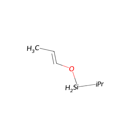 CC=CO[SiH2]C(C)C